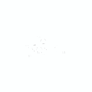 CCOC(=O)C1CCN(c2c(-c3cccc(Cl)c3)c3ccc(C=O)nc3n(CC)c2=O)CC1